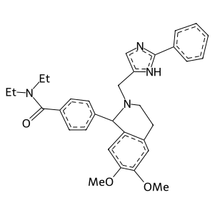 CCN(CC)C(=O)c1ccc(C2c3cc(OC)c(OC)cc3CCN2Cc2cnc(-c3ccccc3)[nH]2)cc1